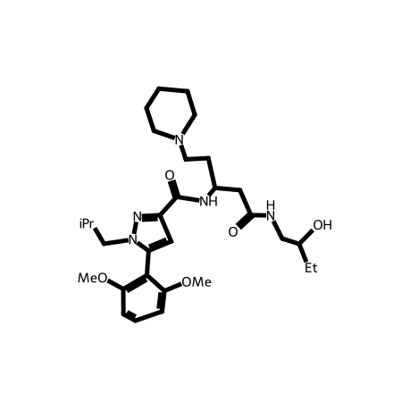 CCC(O)CNC(=O)CC(CCN1CCCCC1)NC(=O)c1cc(-c2c(OC)cccc2OC)n(CC(C)C)n1